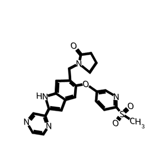 CS(=O)(=O)c1ccc(Oc2cc3cc(-c4cnccn4)[nH]c3cc2CN2CCCC2=O)cn1